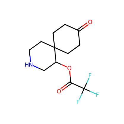 O=C1CCC2(CCNCC2OC(=O)C(F)(F)F)CC1